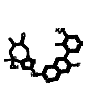 Cc1c(N)cncc1-c1cc2cc(Nc3cc4n(n3)CC(=O)N(C)C[C@@]4(C)O)ncc2cc1F